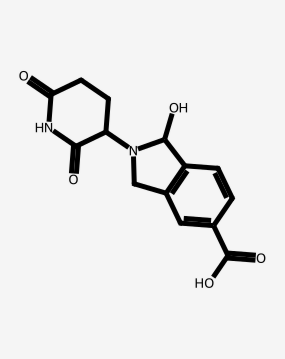 O=C1CCC(N2Cc3cc(C(=O)O)ccc3C2O)C(=O)N1